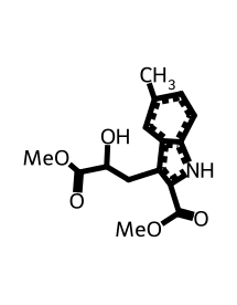 COC(=O)c1[nH]c2ccc(C)cc2c1CC(O)C(=O)OC